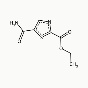 CCOC(=O)c1ncc(C(N)=O)s1